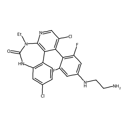 CCN1C(=O)Nc2cc(Cl)ccc2-c2c1ncc(Cl)c2-c1c(F)cc(NCCN)cc1F